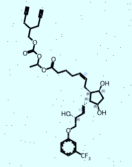 C#CCC(CC#C)COC(=O)OC(C)OC(=O)CCC/C=C\C[C@@H]1[C@@H](/C=C/[C@@H](O)COc2cccc(C(F)(F)F)c2)[C@H](O)C[C@@H]1O